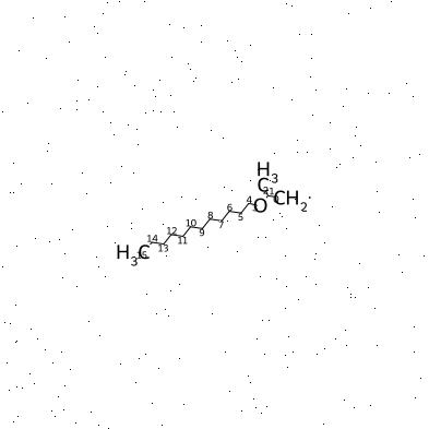 [CH2]C(C)OCCCCCCCCCCCC